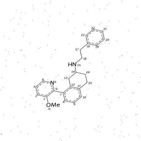 COc1cccnc1-c1cccc2c1CC(NCCc1ccccc1)CC2